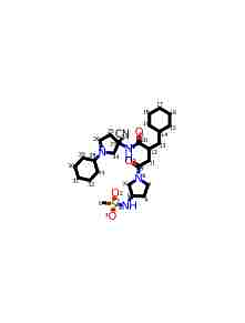 CS(=O)(=O)NC1CCN(C(=O)CC(CC2CCCCC2)C(=O)NC2(C#N)CCN(C3CCCCC3)C2)C1